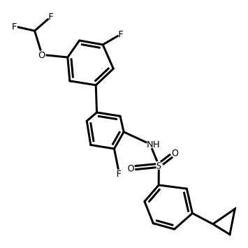 O=S(=O)(Nc1cc(-c2cc(F)cc(OC(F)F)c2)ccc1F)c1cccc(C2CC2)c1